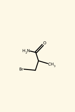 CC(CBr)C(N)=O